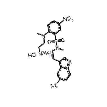 CNCCN(C)c1ccc([N+](=O)[O-])cc1S(=O)(=O)N(C)/N=C\c1cnn2ccc(C#N)cc12.Cl